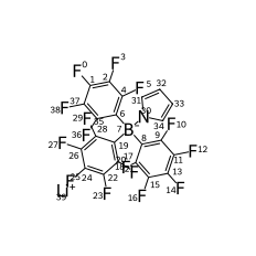 Fc1c(F)c(F)c([B-](c2c(F)c(F)c(F)c(F)c2F)(c2c(F)c(F)c(F)c(F)c2F)n2cccc2)c(F)c1F.[Li+]